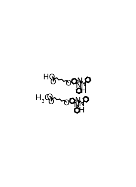 COC(=O)CCCCCOc1ccc2nc(Nc3ccccc3)n(-c3ccccc3)c2c1.O=C(O)CCCCCOc1ccc2nc(Nc3ccccc3)n(-c3ccccc3)c2c1